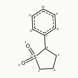 O=S1(=O)CCCC1c1ccccc1